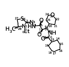 CCN1C(=NNC(=O)C(=O)[C@@H](NC(=O)C2CCCCCC2)C2CCOCC2)SCC1C